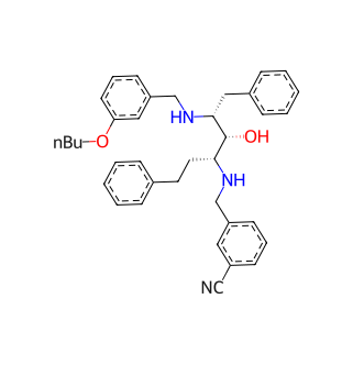 CCCCOc1cccc(CN[C@H](Cc2ccccc2)[C@H](O)[C@@H](CCc2ccccc2)NCc2cccc(C#N)c2)c1